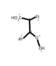 CCC(C(=O)O)C(OO)[C](C)C